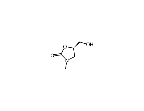 CN1C[C@H](CO)OC1=O